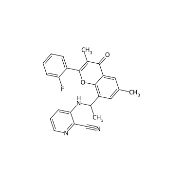 Cc1cc(C(C)Nc2cccnc2C#N)c2oc(-c3ccccc3F)c(C)c(=O)c2c1